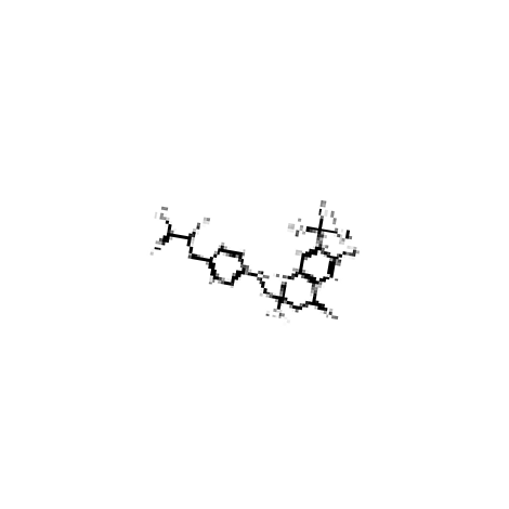 CC1(COc2ccc(CC(Cl)C(=O)O)cc2)CC(=O)c2cc(O)c(C(C)(C)C)cc2O1